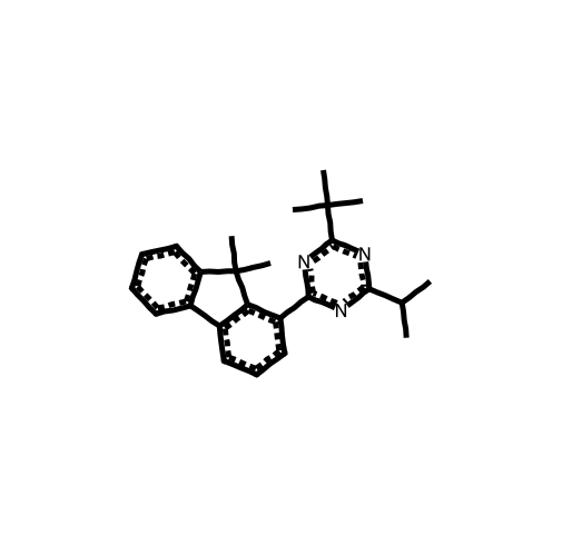 CC(C)c1nc(-c2cccc3c2C(C)(C)c2ccccc2-3)nc(C(C)(C)C)n1